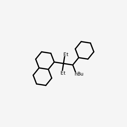 CCCCC(C1CCCCC1)C(CC)(CC)C1CCCC2CCCCC21